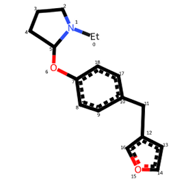 CCN1CCCC1Oc1ccc(Cc2ccoc2)cc1